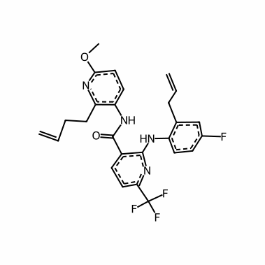 C=CCCc1nc(OC)ccc1NC(=O)c1ccc(C(F)(F)F)nc1Nc1ccc(F)cc1CC=C